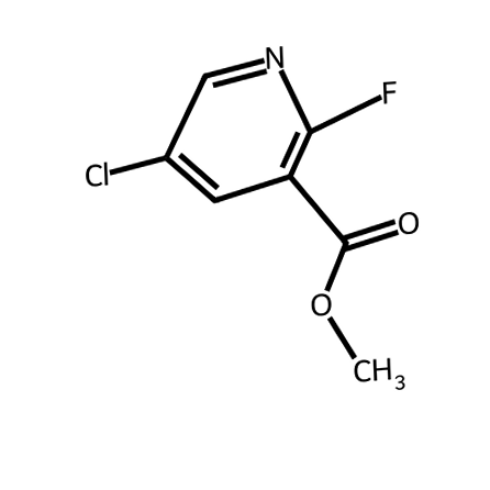 COC(=O)c1cc(Cl)cnc1F